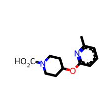 Cc1cccc(OC2CCN(C(=O)O)CC2)n1